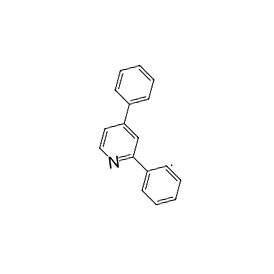 [c]1ccccc1-c1cc(-c2ccccc2)ccn1